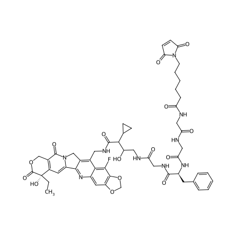 CC[C@@]1(O)C(=O)OCc2c1cc1n(c2=O)Cc2c-1nc1cc3c(c(F)c1c2CNC(=O)C(C(O)CNC(=O)CNC(=O)[C@H](Cc1ccccc1)NC(=O)CNC(=O)CNC(=O)CCCCCN1C(=O)C=CC1=O)C1CC1)OCO3